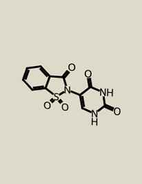 O=C1c2ccccc2S(=O)(=O)N1c1c[nH]c(=O)[nH]c1=O